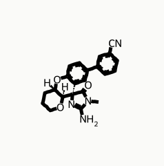 CN1C(=O)[C@]2(N=C1N)c1cc(-c3cccc(C#N)c3)ccc1O[C@H]1CCCO[C@@H]12